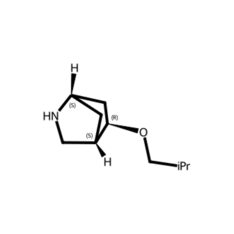 CC(C)CO[C@@H]1C[C@@H]2C[C@H]1CN2